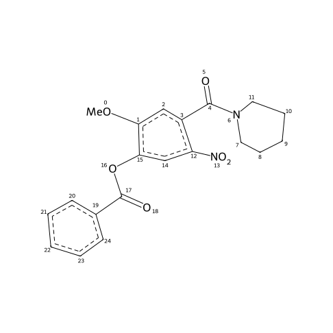 COc1cc(C(=O)N2CCCCC2)c([N+](=O)[O-])cc1OC(=O)c1ccccc1